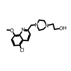 COc1ccc(Cl)c2ccc(CN3CCN(CCO)CC3)nc12